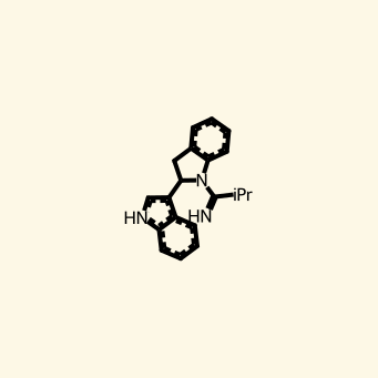 CC(C)C(=N)N1c2ccccc2CC1c1c[nH]c2ccccc12